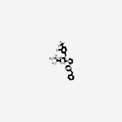 CN[C@@H](C)C(=O)N[C@@H](Cc1ccc(C(F)(F)F)c(Cl)c1)C(=O)N1CCC[C@@H]1c1cncc(Cc2ccccc2)n1